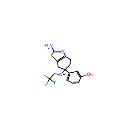 Nc1nc2c(s1)CC(NCC(F)(F)F)(c1cccc(O)c1)CC2